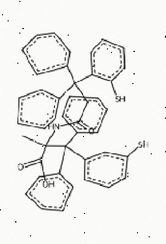 CC(NC(=O)CC(c1ccccc1)(c1ccccc1)c1ccccc1S)(C(=O)O)C(c1ccccc1)(c1ccccc1)c1cccc(S)c1